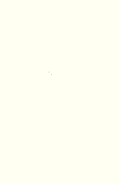 CCCCC(C)CNF